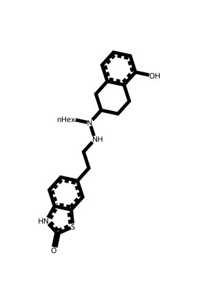 CCCCCCN(NCCc1ccc2[nH]c(=O)sc2c1)C1CCc2c(O)cccc2C1